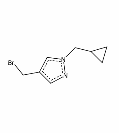 BrCc1cnn(CC2CC2)c1